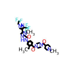 CCc1cc(NC(=O)c2ncc(-c3cn(CC(F)F)nc3C(F)(F)F)n2C)ccc1C(=O)N1CCN(C(=O)C2CCN(C)CC2)CC1